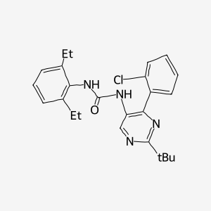 CCc1cccc(CC)c1NC(=O)Nc1cnc(C(C)(C)C)nc1-c1ccccc1Cl